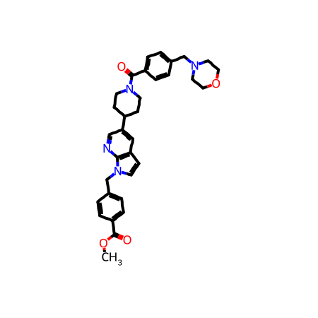 COC(=O)c1ccc(Cn2ccc3cc(C4CCN(C(=O)c5ccc(CN6CCOCC6)cc5)CC4)cnc32)cc1